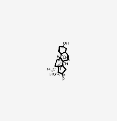 C[C@]12CC[C@@]3(F)[C@@H](C=CC4C[C@H](O)C=C[C@@]43C)[C@@H]1C[C@@H](F)[C@@H]2O